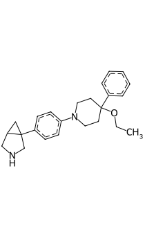 CCOC1(c2ccccc2)CCN(c2ccc(C34CNCC3C4)cc2)CC1